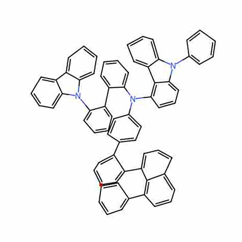 c1ccc(-c2cccc3cccc(-c4ccccc4-c4ccc(N(c5ccccc5-c5ccccc5-n5c6ccccc6c6ccccc65)c5cccc6c5c5ccccc5n6-c5ccccc5)cc4)c23)cc1